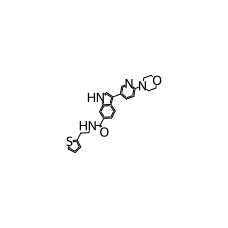 O=C(NCCc1cccs1)c1ccc2c(-c3ccc(N4CCOCC4)nc3)c[nH]c2c1